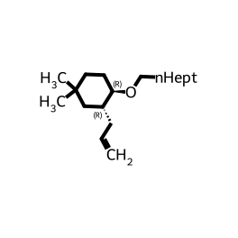 C=CC[C@@H]1CC(C)(C)CC[C@H]1OCCCCCCCC